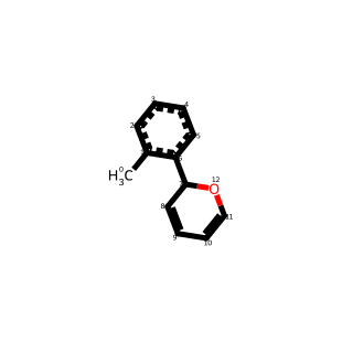 Cc1ccccc1C1C=CC=CO1